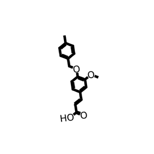 COc1cc(C=CC(=O)O)ccc1OCc1ccc(C)cc1